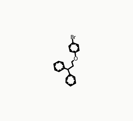 Brc1ccc(OCCC(c2ccccc2)c2ccccc2)cc1